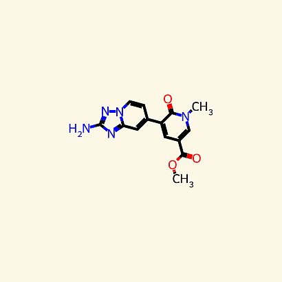 COC(=O)c1cc(-c2ccn3nc(N)nc3c2)c(=O)n(C)c1